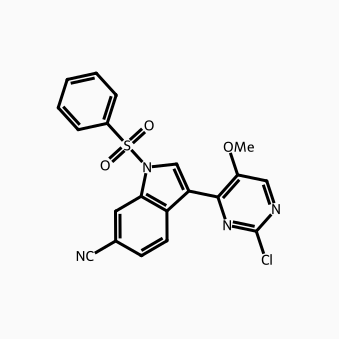 COc1cnc(Cl)nc1-c1cn(S(=O)(=O)c2ccccc2)c2cc(C#N)ccc12